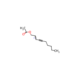 CCCCCC#C/C=C/COC(C)=O